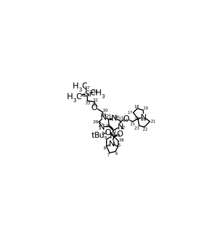 CC(C)(C)OC(=O)N1C2CCC1CN(c1nc(OCC34CCCN3CCC4)nc3c1ncn3COCC[Si](C)(C)C)C2